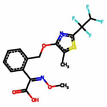 CON=C(C(=O)O)c1ccccc1COc1nc(C(F)(F)C(F)F)sc1C